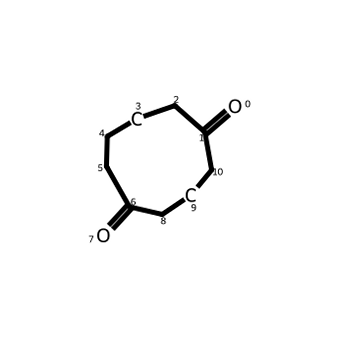 O=C1CCCCC(=O)CCC1